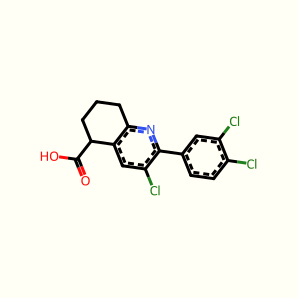 O=C(O)C1CCCc2nc(-c3ccc(Cl)c(Cl)c3)c(Cl)cc21